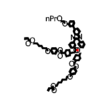 C=CC(=O)OCCCCCCOc1ccc(OC(=O)C2CCC(COc3cccc(-c4nc5ccc(-c6cccc(OCCOCCC)c6)cc5nc4-c4cccc(OCC5CCC(C(=O)Oc6ccc(OCCCCCCOC(=O)C=C)cc6)CC5)c4)c3)CC2)cc1